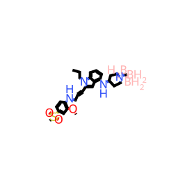 BC(B)(B)N1CCC(Nc2cccc3c2cc(C#CCNc2ccc(S(C)(=O)=O)cc2OC)n3CCC)CC1